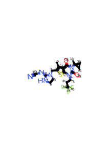 Cc1c(CN2CCN/C2=N\C#N)sc2c1c(=O)n(C1(C)CC1)c(=O)n2CCC(F)(F)F